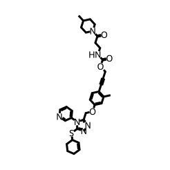 Cc1cc(OCc2nnc(SC3C=CCCC3)n2-c2cccnc2)ccc1C#CCOC(=O)NCCC(=O)N1CCC(C)CC1